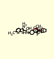 Cc1ccc2c(N)c(C(=O)N[C@@H]3CCc4c(ccc(N5CC6CCC(C5)N6C(=O)OC(C)(C)C)c4F)C3)sc2n1